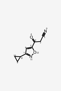 N#CCC(=O)c1cc(C2CC2)no1